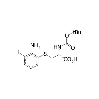 CC(C)(C)OC(=O)N[C@@H](CSc1cccc(I)c1N)C(=O)O